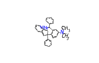 CN(C)c1ccc(C2(c3ccccc3)C=c3ccccc3=C2)c(C(=N)c2ccccc2)c1